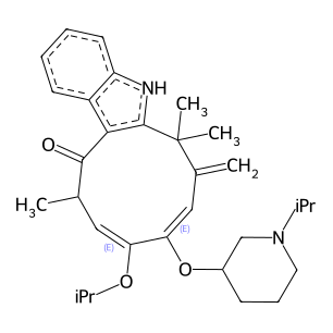 C=C1/C=C(OC2CCCN(C(C)C)C2)\C(OC(C)C)=C/C(C)C(=O)c2c([nH]c3ccccc23)C1(C)C